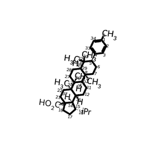 Cc1ccc([C@H]2CC[C@]3(C)[C@H]4CC[C@@H]5[C@H]6[C@H](C(C)C)CC[C@]6(C(=O)O)CC[C@@]5(C)[C@]4(C)CC[C@H]3C2(C)C)cc1